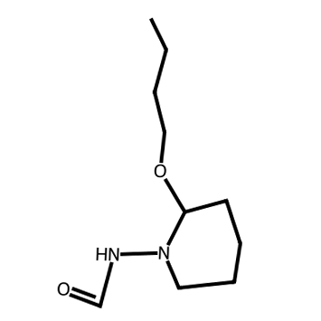 CCCCOC1CCCCN1NC=O